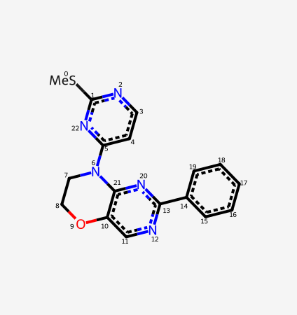 CSc1nccc(N2CCOc3cnc(-c4ccccc4)nc32)n1